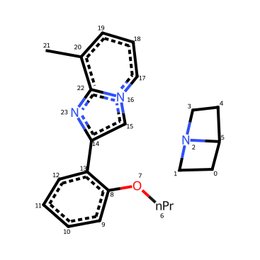 C1CN2CCC12.CCCOc1ccccc1-c1cn2cccc(C)c2n1